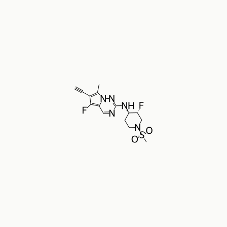 C#Cc1c(F)c2cnc(N[C@@H]3CCN(S(C)(=O)=O)C[C@H]3F)nn2c1C